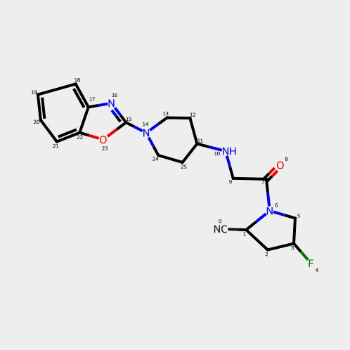 N#CC1CC(F)CN1C(=O)CNC1CCN(c2nc3ccccc3o2)CC1